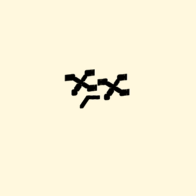 CCC.O=P(O)(O)O.O=P(O)(O)O